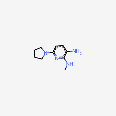 CNc1nc(N2CCCC2)ccc1N